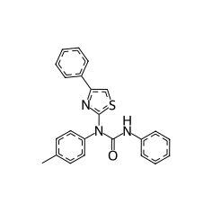 Cc1ccc(N(C(=O)Nc2ccccc2)c2nc(-c3ccccc3)cs2)cc1